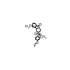 Cc1ccc2c(n1)C1CN(S(=O)(=O)c3ccc(OCF)cc3C)CCN1C2=O